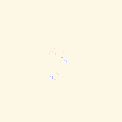 CC(C)(C)Cn1cc(C(NS(=O)(=O)C2CC2)C(F)F)c2ccc(-c3cnccc3C(F)(F)F)cc21